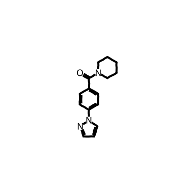 O=C(c1ccc(-n2cccn2)cc1)N1CCCCC1